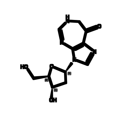 O=C1CNC=Nc2c1ncn2[C@@H]1C[C@H](O)[C@@H](CO)O1